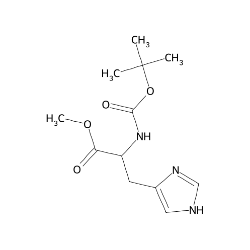 COC(=O)C(Cc1c[nH]cn1)NC(=O)OC(C)(C)C